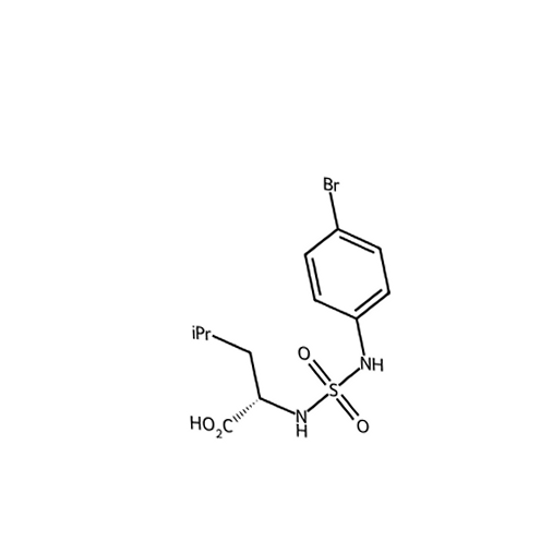 CC(C)C[C@H](NS(=O)(=O)Nc1ccc(Br)cc1)C(=O)O